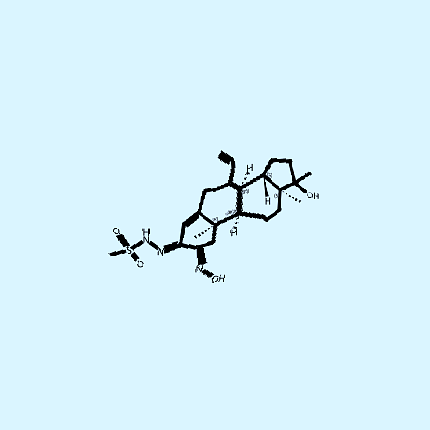 C=CC1CC2=CC(=NNS(C)(=O)=O)C(=NO)C[C@]2(C)[C@@H]2CC[C@@]3(C)[C@@H](CCC3(C)O)[C@H]12